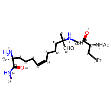 CC(=O)N[C@@H](CC(C)C)C(=O)BN[C@](C)(C=O)CCC/C=C\CCC[C@](C)(N)C(=O)NI